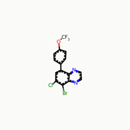 FC(F)(F)Oc1ccc(-c2cc(Cl)c(Br)c3nccnc23)cc1